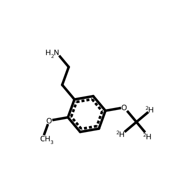 [2H]C([2H])([2H])Oc1ccc(OC)c(CCN)c1